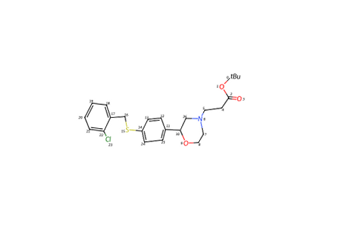 CC(C)(C)OC(=O)CCN1CCOC(c2ccc(SCc3ccccc3Cl)cc2)C1